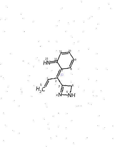 C=C/C(C1=NNC1)=C1/C=CC=CC1=N